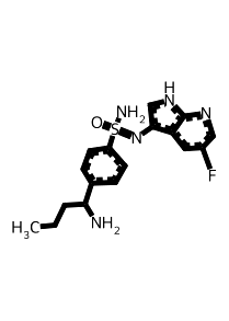 CCCC(N)c1ccc(S(N)(=O)=Nc2c[nH]c3ncc(F)cc23)cc1